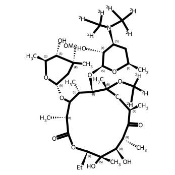 [2H]C([2H])([2H])O[C@]1(C)C[C@@H](C)C(=O)[C@H](C)[C@@H](O)[C@](C)(O)[C@@H](CC)OC(=O)[C@H](C)C(O[C@H]2C[C@@](C)(OC)[C@@H](O)[C@H](C)O2)[C@H](C)[C@H]1O[C@@H]1O[C@H](C)C[C@H](N(C([2H])([2H])[2H])C([2H])([2H])[2H])[C@H]1O